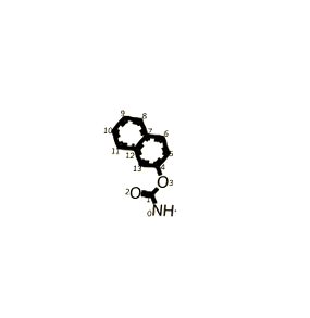 [NH]C(=O)Oc1ccc2ccccc2c1